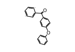 O=C(c1[c]cc[c]c1)c1ccc(Oc2ccccc2)cc1